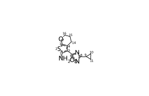 Nc1sc2c(c1-c1nc(C3CC3)no1)CCCO2